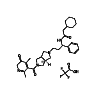 CC1=NCC(=O)C(C)=C1C(=O)N1CC2CN(CCC(NC(=O)CC3CCCCC3)c3ccccc3)C[C@H]2C1.O=C(O)C(F)(F)F